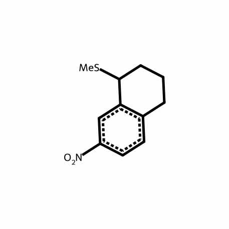 CSC1CCCc2ccc([N+](=O)[O-])cc21